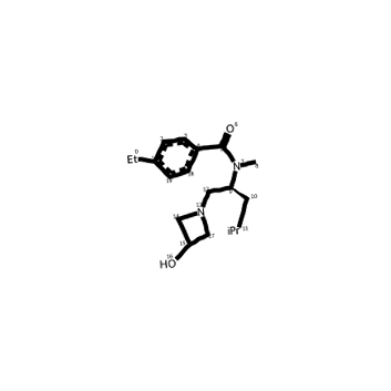 CCc1ccc(C(=O)N(C)[C@@H](CC(C)C)CN2CC(O)C2)cc1